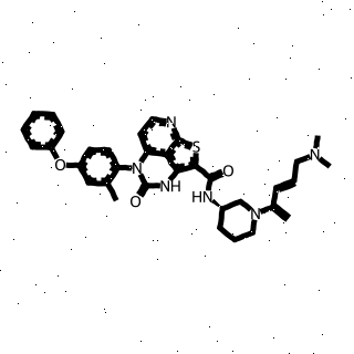 C=C(/C=C/CN(C)C)N1CCC[C@@H](NC(=O)c2sc3nccc4c3c2NC(=O)N4c2ccc(Oc3ccccc3)cc2C)C1